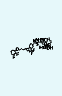 CN[C@@H](COP(=O)(O)O)c1nnc(-c2ccc(OCCCCOc3cccc(F)c3F)c(C(F)(F)F)c2)s1